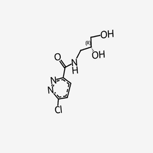 O=C(NC[C@@H](O)CO)c1ccc(Cl)nn1